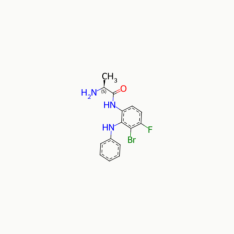 C[C@H](N)C(=O)Nc1ccc(F)c(Br)c1Nc1ccccc1